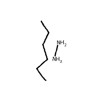 CCCCCC.NN